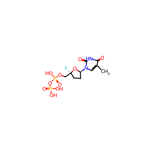 Cc1cn([C@H]2CC[C@@](F)(COP(=O)(O)OP(=O)(O)O)O2)c(=O)[nH]c1=O